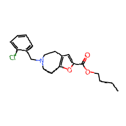 CCCCOC(=O)c1cc2c(o1)CCN(Cc1ccccc1Cl)CC2